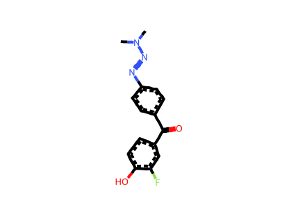 CN(C)N=Nc1ccc(C(=O)c2ccc(O)c(F)c2)cc1